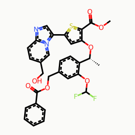 COC(=O)c1sc(-c2cnc3ccc(CO)cn23)cc1O[C@H](C)c1ccc(COC(=O)c2ccccc2)cc1OC(F)F